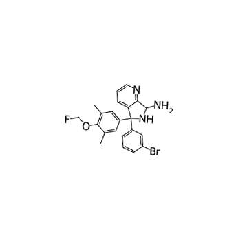 Cc1cc(C2(c3cccc(Br)c3)NC(N)c3ncccc32)cc(C)c1OCF